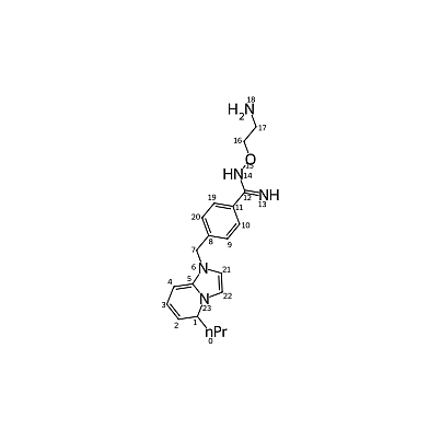 CCCC1C=CC=C2N(Cc3ccc(C(=N)NOCCN)cc3)C=CN21